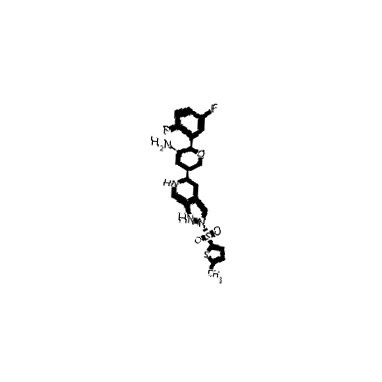 Cc1ccc(S(=O)(=O)N2C=C3CC([C@@H]4CO[C@H](c5cc(F)ccc5F)[C@@H](N)C4)NC=C3N2)s1